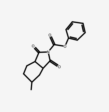 CC1CCC2C(=O)N(C(=O)Oc3ccccc3)C(=O)C2C1